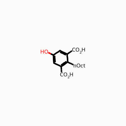 CCCCCCCCc1c(C(=O)O)cc(O)cc1C(=O)O